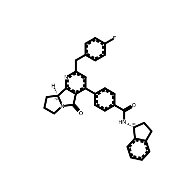 O=C(N[C@@H]1CCc2ccccc21)c1ccc(-c2cc(Cc3ccc(F)cc3)nc3c2C(=O)N2CCC[C@@H]32)cc1